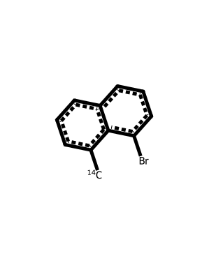 [14CH3]c1cccc2cccc(Br)c12